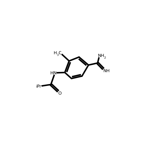 Cc1cc(C(=N)N)ccc1NC(=O)C(C)C